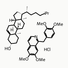 CC(C)CCC[C@@H](C)[C@H]1CC[C@H]2[C@@H]3CC=C4C[C@@H](O)CC[C@]4(C)[C@H]3CC[C@]12C.COc1ccc(Cc2nccc3cc(OC)c(OC)cc23)cc1OC.Cl